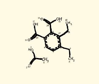 CC(=O)O.CCc1ccc(C(=O)O)c(C(=O)O)c1CC